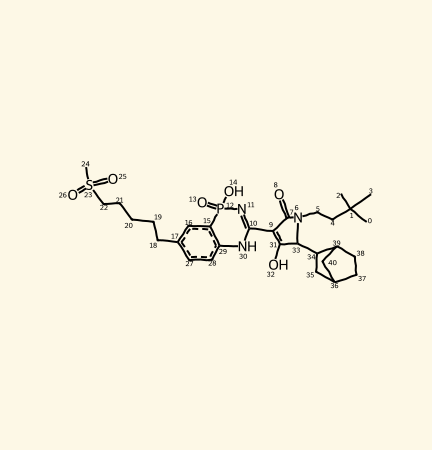 CC(C)(C)CCN1C(=O)C(C2=NP(=O)(O)c3cc(CCCCCS(C)(=O)=O)ccc3N2)=C(O)C1C1CC2CCC1C2